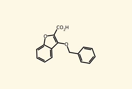 O=C(O)c1oc2ccccc2c1OCc1ccccc1